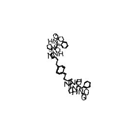 COC(=O)N[C@@H](C(=O)N1CCC[C@H]1c1nc(CCc2ccc(CCc3cnc([C@@H]4CCCN4C(=O)[C@H](NC(=O)OC)c4ccccc4)[nH]3)cc2)c[nH]1)c1ccccc1